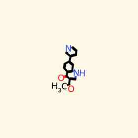 CC(=O)c1c[nH]c2cc(-c3cccnc3)ccc2c1=O